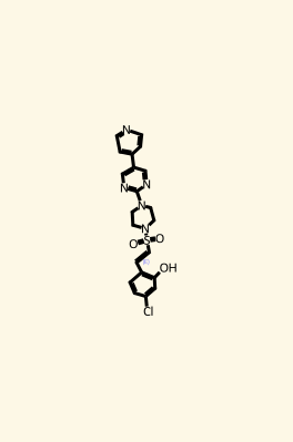 O=S(=O)(/C=C/c1ccc(Cl)cc1O)N1CCN(c2ncc(-c3ccncc3)cn2)CC1